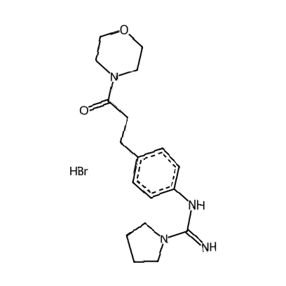 Br.N=C(Nc1ccc(CCC(=O)N2CCOCC2)cc1)N1CCCC1